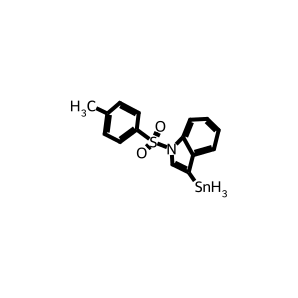 Cc1ccc(S(=O)(=O)n2c[c]([SnH3])c3ccccc32)cc1